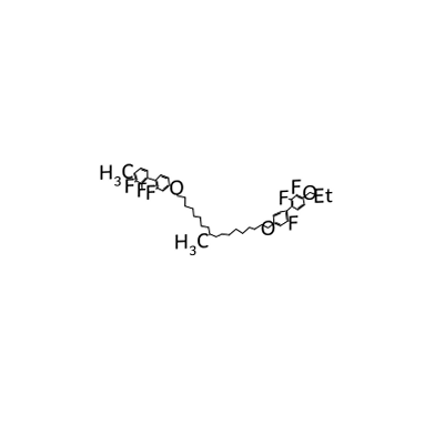 CCOc1ccc(-c2ccc(OCCCCCCCCC(C)CCCCCCCCOc3ccc(-c4ccc(C)c(F)c4F)c(F)c3)cc2F)c(F)c1F